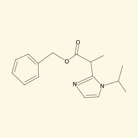 CC(C(=O)OCc1ccccc1)c1nccn1C(C)C